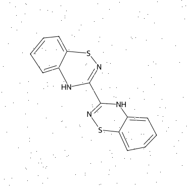 c1ccc2c(c1)NC(C1=NSc3ccccc3N1)=NS2